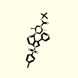 Cc1ccc(S(=O)(=O)n2cc(-c3ccncc3)c3c(N4C[C@@H](C)N(C(=O)OC(C)(C)C)C[C@@H]4C)nccc32)cc1